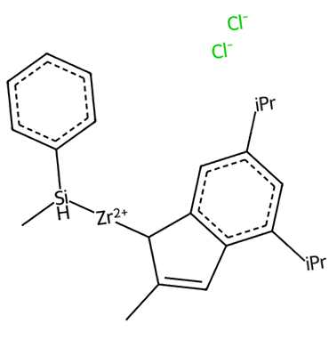 CC1=Cc2c(C(C)C)cc(C(C)C)cc2[CH]1[Zr+2][SiH](C)c1ccccc1.[Cl-].[Cl-]